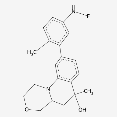 Cc1ccc(NF)cc1-c1ccc2c(c1)N1CCOCC1CC2(C)O